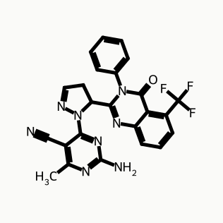 Cc1nc(N)nc(N2N=CCC2c2nc3cccc(C(F)(F)F)c3c(=O)n2-c2ccccc2)c1C#N